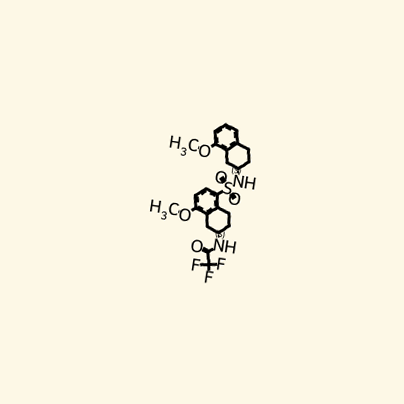 COc1cccc2c1C[C@@H](NS(=O)(=O)c1ccc(OC)c3c1CC[C@H](NC(=O)C(F)(F)F)C3)CC2